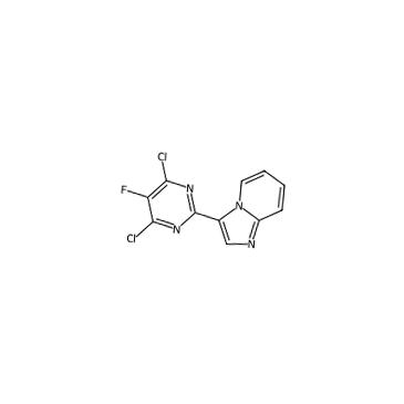 Fc1c(Cl)nc(-c2cnc3ccccn23)nc1Cl